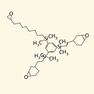 C[Si](C)(CCCCCCCCC1CO1)c1cc([Si](C)(C)CCC2CCC3OC3C2)cc([Si](C)(C)CCC2CCC3OC3C2)c1